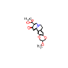 COC(=O)c1cn2c(cc1=O)-c1cc3c(cc1CC2)OCC(OC)CO3